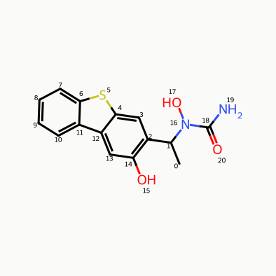 CC(c1cc2sc3ccccc3c2cc1O)N(O)C(N)=O